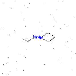 CCCCCCCC/C=C\CCCCCCCCN(C)CCN1CCN(CCN(CCCCCCCC/C=C\CCCCCCCC)CCCCCCCC/C=C\CCCCCCCC)CC1